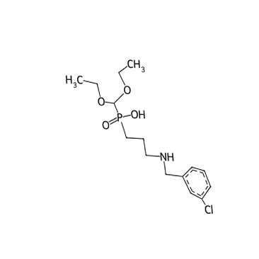 CCOC(OCC)P(=O)(O)CCCNCc1cccc(Cl)c1